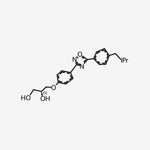 CC(C)Cc1ccc(-c2nc(-c3ccc(OC[C@@H](O)CO)cc3)no2)cc1